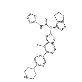 O=C(Nc1nccs1)[C@@H](c1ncn2c1CCC2)n1cc2ccc(-c3ccc(N4CCNCC4)nc3)c(F)c2n1